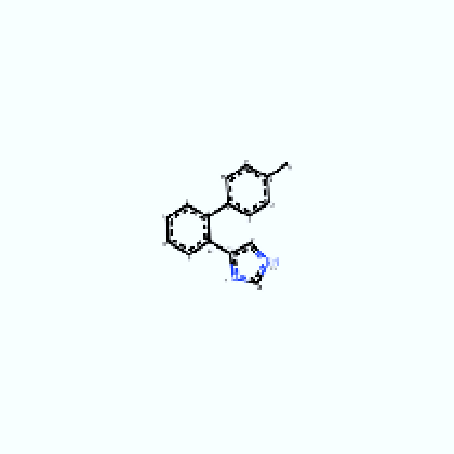 Cc1ccc(-c2ccccc2-c2c[nH]cn2)cc1